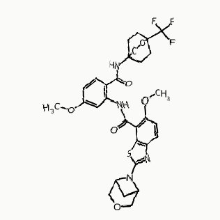 COc1ccc(C(=O)NC23CCC(C(F)(F)F)(CC2)OC3)c(NC(=O)c2c(OC)ccc3nc(N4C5COCC4C5)sc23)c1